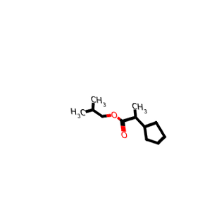 CC(C)COC(=O)C(C)C1CCCC1